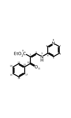 CCOC(=O)C(=CNc1cccnc1)C(=O)c1ccccc1